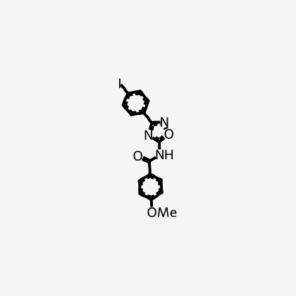 COc1ccc(C(=O)Nc2nc(-c3ccc(I)cc3)no2)cc1